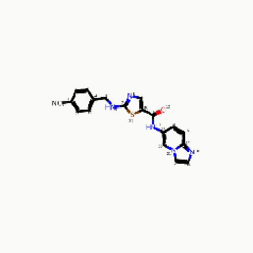 N#Cc1ccc(CNc2ncc(C(=O)Nc3ccc4nccn4c3)s2)cc1